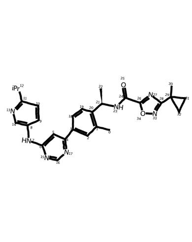 Cc1cc(-c2cc(Nc3ccc(C(C)C)nc3)ncn2)ccc1[C@@H](C)NC(=O)c1nc(C2(C)CC2)no1